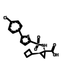 O=C(O)[C@@]1(NS(=O)(=O)c2ccc(-c3ccc(Cl)cc3)s2)C[C@H]1C1CCC1